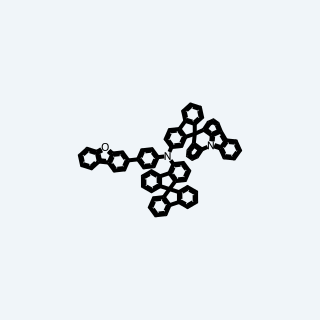 c1ccc2c(c1)-c1ccccc1C21c2ccccc2-c2c(N(c3ccc(-c4ccc5c(c4)oc4ccccc45)cc3)c3ccc4c(c3)C3(c5ccccc5-4)c4ccccc4-n4c5ccccc5c5cccc3c54)cccc21